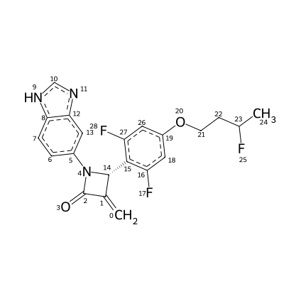 C=C1C(=O)N(c2ccc3[nH]cnc3c2)[C@@H]1c1c(F)cc(OCCC(C)F)cc1F